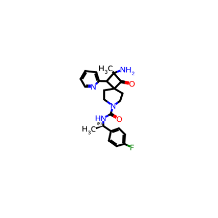 C[C@@H](NC(=O)N1CCC2(CC1)C(=O)C(C)(N)C2c1ccccn1)c1ccc(F)cc1